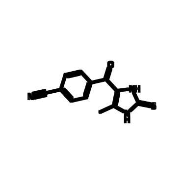 Cc1[nH]c(=S)[nH]c1C(=O)c1ccc(C#N)cc1